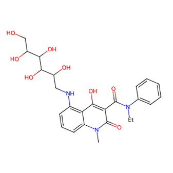 CCN(C(=O)c1c(O)c2c(NCC(O)C(O)C(O)C(O)CO)cccc2n(C)c1=O)c1ccccc1